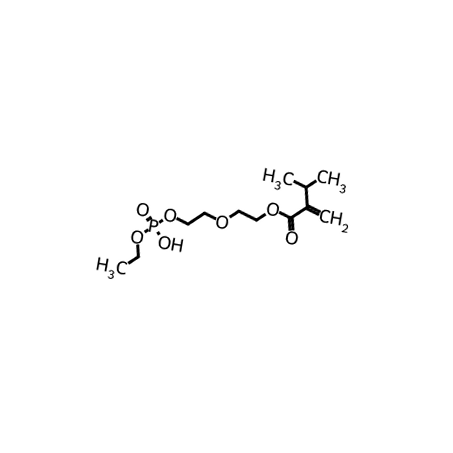 C=C(C(=O)OCCOCCOP(=O)(O)OCC)C(C)C